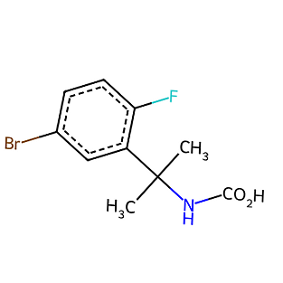 CC(C)(NC(=O)O)c1cc(Br)ccc1F